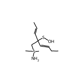 CC=CC(C=CCC)(CS(C)(C)N)SO